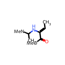 C/C=C(\NC(C)NC)C(=O)OC